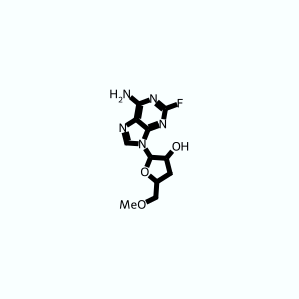 [CH2]OCC1CC(O)C(n2cnc3c(N)nc(F)nc32)O1